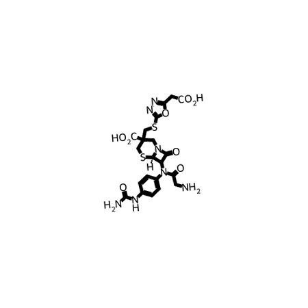 NCC(=O)N(c1ccc(NC(N)=O)cc1)C1C(=O)N2CC(CSc3nnc(CC(=O)O)o3)(C(=O)O)CS[C@H]12